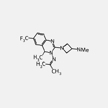 CNC1CN(C2=Nc3ccc(C(F)(F)F)cc3C(C)N2N=C(C)C)C1